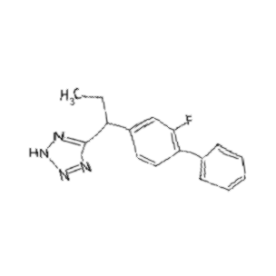 CCC(c1ccc(-c2ccccc2)c(F)c1)c1nn[nH]n1